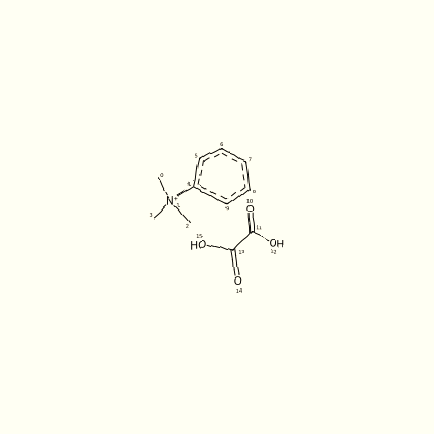 C[N+](C)(C)c1ccccc1.O=C(O)C(=O)O